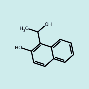 CC(O)c1c(O)ccc2ccccc12